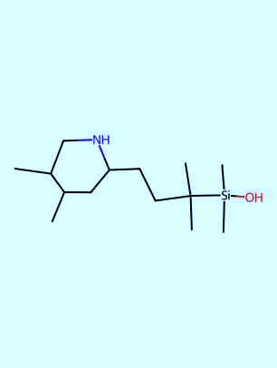 CC1CNC(CCC(C)(C)[Si](C)(C)O)CC1C